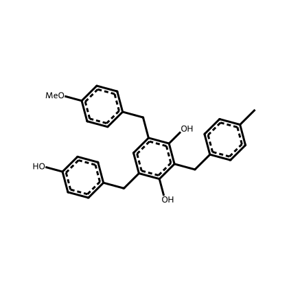 COc1ccc(Cc2cc(Cc3ccc(O)cc3)c(O)c(Cc3ccc(C)cc3)c2O)cc1